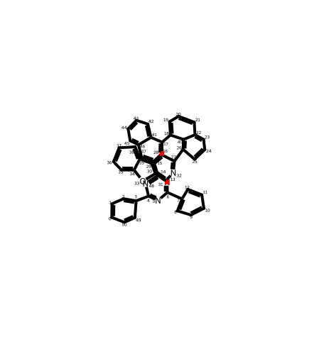 c1ccc(-c2nc(-c3ccccc3)nc(-c3cc(-c4cccc5cccc(-c6cc7c(cn6)oc6ccccc67)c45)c4ccccc4c3)n2)cc1